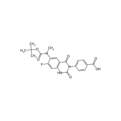 CN(C(=O)OC(C)(C)C)c1cc2c(=O)n(-c3ccc(C(=O)O)cc3)c(=O)[nH]c2cc1F